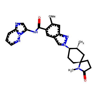 COc1cc2nn([C@@H]3CC[C@]4(CCC(=O)N4C)C[C@H]3C)cc2cc1C(=O)Nc1cnc2cccnn12